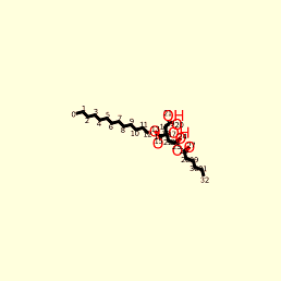 CCCCCCCCCCCCCOC(=O)C(O)(CC(=O)O)CC(=O)OC(=O)CCCCC